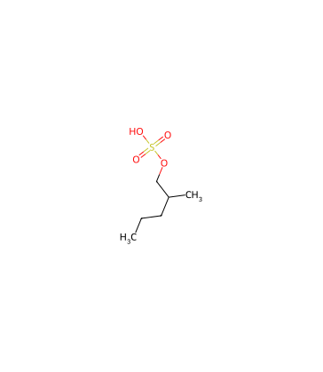 CCCC(C)COS(=O)(=O)O